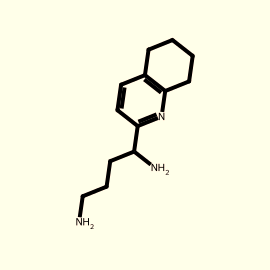 NCCCC(N)c1ccc2c(n1)CCCC2